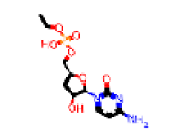 CCOP(=O)(O)OC[C@@H]1C[C@H](O)[C@H](n2ccc(N)nc2=O)O1